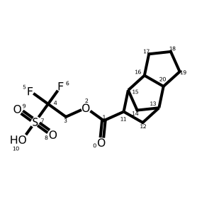 O=C(OCC(F)(F)S(=O)(=O)O)C1CC2CC1C1CCCC21